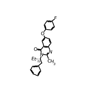 CC[C@@H](Cc1ccccc1)n1c(C)nc2ccc(Oc3ccc(F)cc3)cc2c1=O